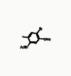 COc1cc(NC(C)=O)c(C)cc1Br